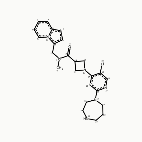 CN(Cc1cnc2ccccn12)C(=O)C1CN(c2nc(N3CCCNCC3)ncc2Cl)C1